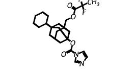 CC(F)(F)C(=O)OCC12CC3CC(OC(=O)n4ccnc4)(C1)CC(C1CCCCC1)(C3)C2